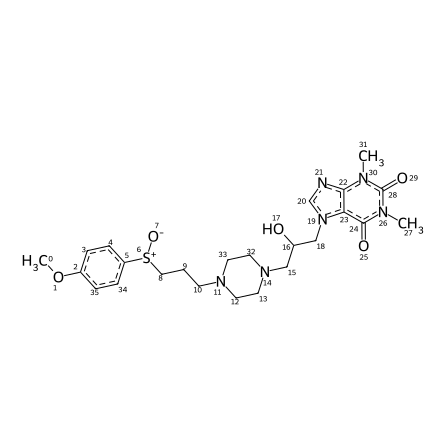 COc1ccc([S+]([O-])CCCN2CCN(CC(O)Cn3cnc4c3c(=O)n(C)c(=O)n4C)CC2)cc1